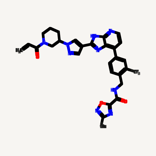 C=CC(=O)N1CCCC(n2cc(-c3nc4c(-c5ccc(CNC(=O)c6nc(C(C)(C)C)no6)c(C(F)(F)F)c5)ccnc4[nH]3)cn2)C1